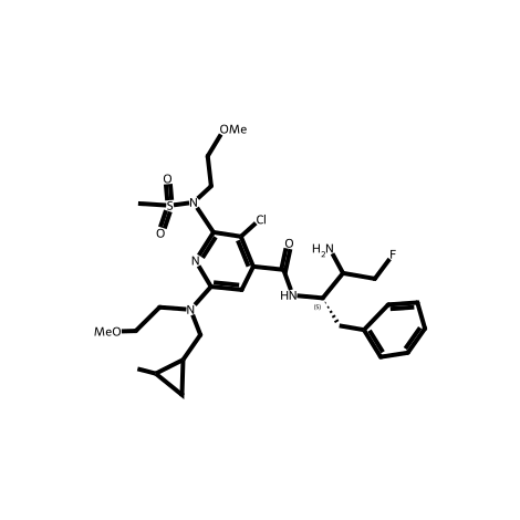 COCCN(CC1CC1C)c1cc(C(=O)N[C@@H](Cc2ccccc2)C(N)CF)c(Cl)c(N(CCOC)S(C)(=O)=O)n1